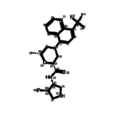 C[C@@H]1CN(c2ccc(C(F)(F)F)c3ncccc23)C[C@H](C(=O)N[C@@H]2CNC[C@H]2F)O1